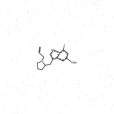 C=CCN1CCCC1Cc1c[nH]c2c(F)cc(OC)cc12